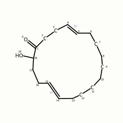 O=C1CC/C=C/CCCCCCCC/C=C/CCC1O